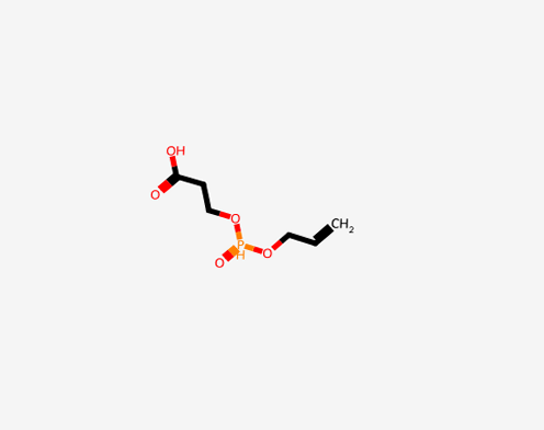 C=CCO[PH](=O)OCCC(=O)O